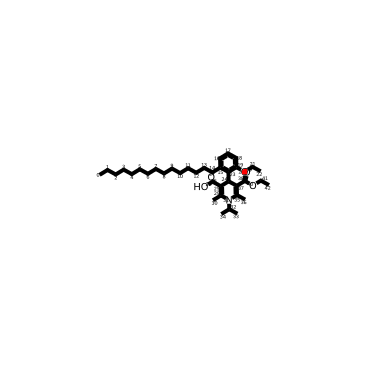 CCCCCCCCCCCCCCCc1cccc(OCC)c1C1C(C(=O)O)=C(C)N(C(C)C)C(C)=C1C(=O)OCC